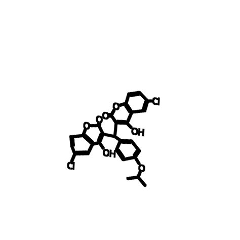 CC(C)Oc1ccc(C(c2c(O)c3cc(Cl)ccc3oc2=O)c2c(O)c3cc(Cl)ccc3oc2=O)cc1